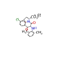 CCOC(=O)[C@@H]1CCCN1C(=O)C(Nc1c(C)cccc1C)C(=O)c1ccc(Cl)cc1